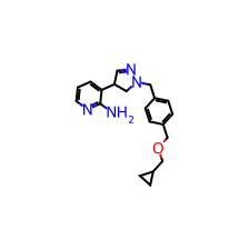 Nc1ncccc1C1C=NN(Cc2ccc(COCC3CC3)cc2)C1